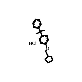 CC(C)(c1ccccc1)c1ccc(OCC2CCCC2)cc1.Cl